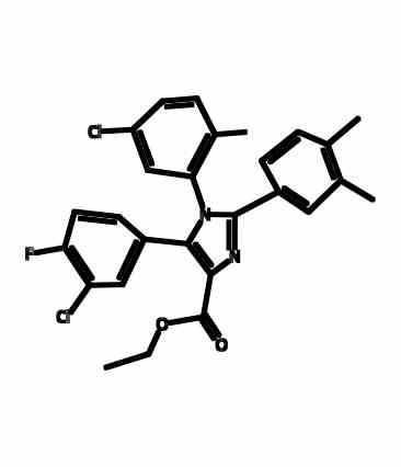 CCOC(=O)c1nc(-c2ccc(C)c(C)c2)n(-c2cc(Cl)ccc2C)c1-c1ccc(F)c(Cl)c1